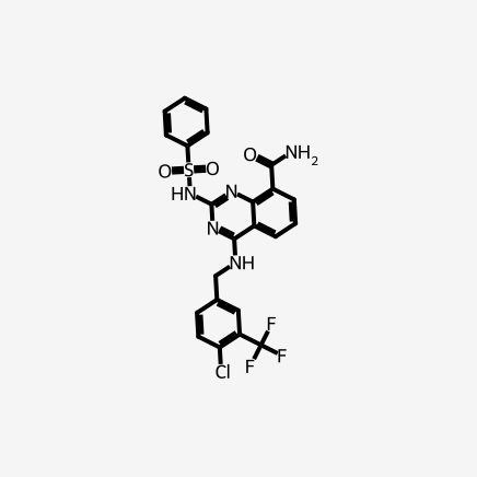 NC(=O)c1cccc2c(NCc3ccc(Cl)c(C(F)(F)F)c3)nc(NS(=O)(=O)c3ccccc3)nc12